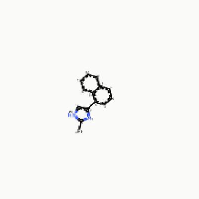 CCc1nc(-c2cccc3ccccc23)c[nH]1